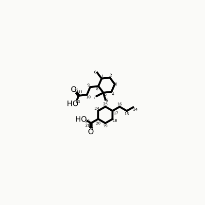 CC1CCCC(C)(C)C1CCC(=O)O.CCCC1CCC(C(=O)O)CC1